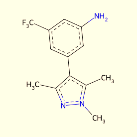 Cc1nn(C)c(C)c1-c1cc(N)cc(C(F)(F)F)c1